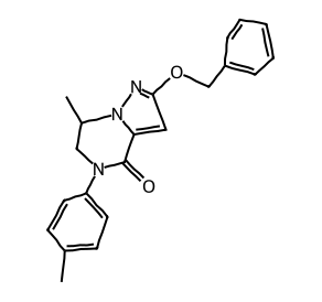 Cc1ccc(N2CC(C)n3nc(OCc4ccccc4)cc3C2=O)cc1